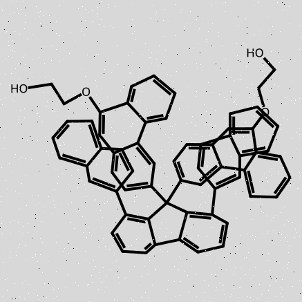 OCCOc1cc2ccc(C3(c4ccc5cc(OCCO)c6ccccc6c5c4)c4c(-c5ccc6ccccc6c5)cccc4-c4cccc(-c5ccc6ccccc6c5)c43)cc2c2ccccc12